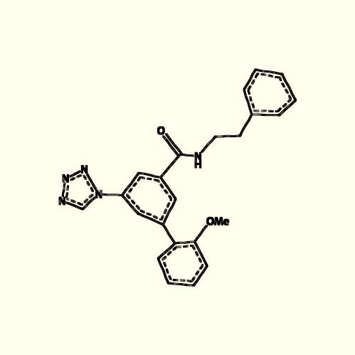 COc1ccccc1-c1cc(C(=O)NCCc2ccccc2)cc(-n2cnnn2)c1